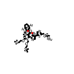 CC(C)(C)OC(=O)N1[C@@H]2CC[C@H]1C[C@H](c1nc3c(-c4cnc(CO[Si](C)(C)C(C)(C)C)s4)cnn3c(N(COCC[Si](C)(C)C)COCC[Si](C)(C)C)c1S(C)(=O)=O)C2